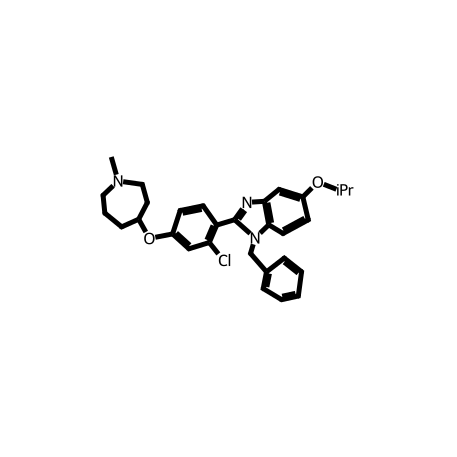 CC(C)Oc1ccc2c(c1)nc(-c1ccc(OC3CCCN(C)CC3)cc1Cl)n2Cc1ccccc1